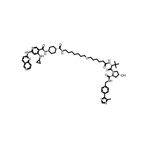 Cc1ncsc1-c1ccc(CNC(=O)[C@@H]2C[C@@H](O)CN2C(=O)[C@H](NC(=O)CCCCCOCCCCCCCNC(=O)[C@H]2CC[C@H](NC(=O)c3cnc(Nc4ccc5cnccc5n4)cc3NC3CC3)CC2)C(C)(C)C)cc1